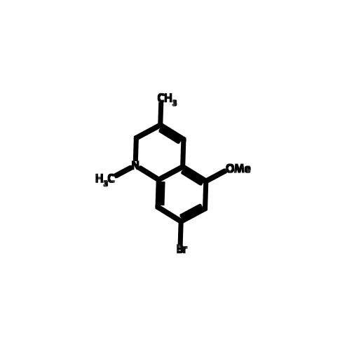 COc1cc(Br)cc2c1C=C(C)CN2C